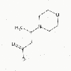 CC(CC([O])=O)N1CCOCC1